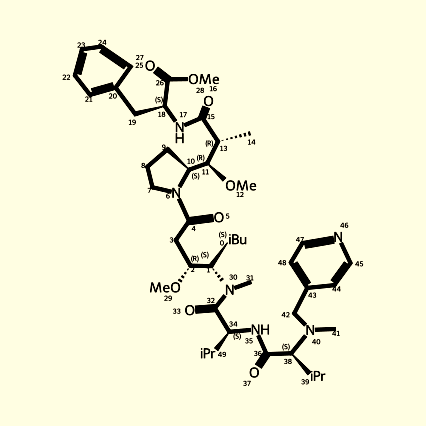 CC[C@H](C)[C@@H]([C@@H](CC(=O)N1CCC[C@H]1[C@H](OC)[C@@H](C)C(=O)N[C@@H](Cc1ccccc1)C(=O)OC)OC)N(C)C(=O)[C@@H](NC(=O)[C@H](C(C)C)N(C)Cc1ccncc1)C(C)C